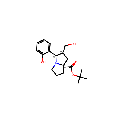 CC(C)(C)OC(=O)[C@]12CCCN1[C@@H](c1ccccc1O)[C@@H](CO)C2